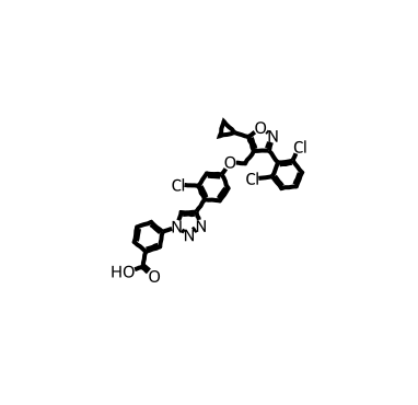 O=C(O)c1cccc(-n2cc(-c3ccc(OCc4c(-c5c(Cl)cccc5Cl)noc4C4CC4)cc3Cl)nn2)c1